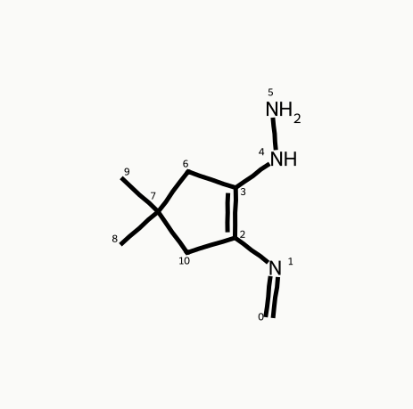 C=NC1=C(NN)CC(C)(C)C1